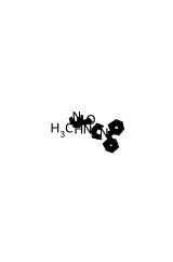 Cc1cncc(C(=O)NC2CCN(C(c3ccccc3)c3ccccc3)CC2)c1